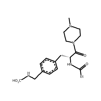 CCC(=O)N[C@H](Cc1ccc(CNC(=O)O)cc1)C(=O)N1CCN(C)CC1